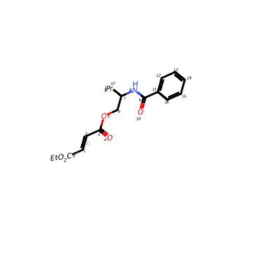 CCOC(=O)/C=C/C(=O)OCC(NC(=O)c1ccccc1)C(C)C